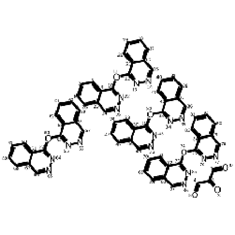 O=CC(=O)C=O.c1ccc2c(Oc3nncc4ccccc34)nncc2c1.c1ccc2c(Oc3nncc4ccccc34)nncc2c1.c1ccc2c(Oc3nncc4ccccc34)nncc2c1.c1ccc2c(Oc3nncc4ccccc34)nncc2c1